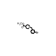 COC(=O)C1CCN(Cc2cccc(Br)c2)CC1